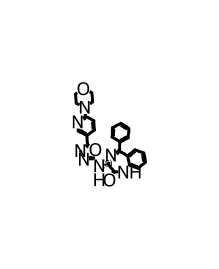 O=C1Nc2ccccc2C(c2ccccc2)=N[C@@H]1Nc1nnc(-c2ccc(N3CCOCC3)nc2)o1